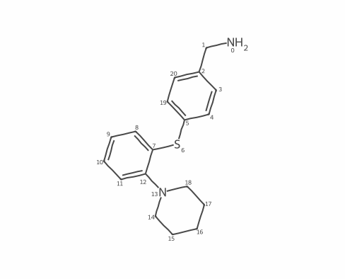 NCc1ccc(Sc2ccccc2N2CCCCC2)cc1